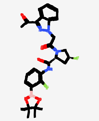 CC(=O)c1nn(CC(=O)N2C[C@H](F)C[C@@H]2C(=O)Nc2cccc(B3OC(C)(C)C(C)(C)O3)c2F)c2ccccc12